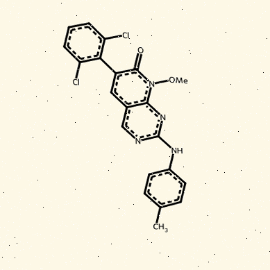 COn1c(=O)c(-c2c(Cl)cccc2Cl)cc2cnc(Nc3ccc(C)cc3)nc21